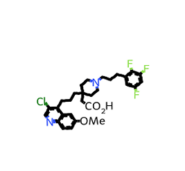 COc1ccc2ncc(Cl)c(CCCC3(CC(=O)O)CCN(CCCc4cc(F)cc(F)c4F)CC3)c2c1